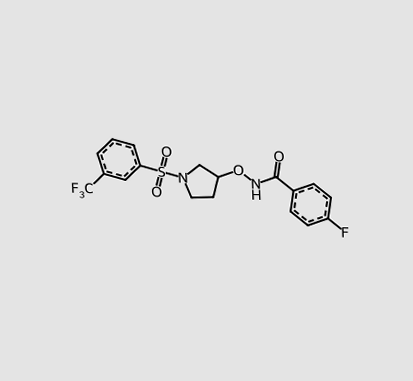 O=C(NOC1CCN(S(=O)(=O)c2cccc(C(F)(F)F)c2)C1)c1ccc(F)cc1